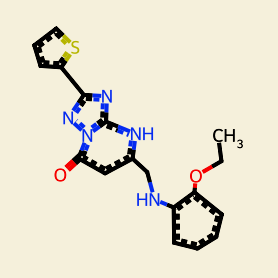 CCOc1ccccc1NCc1cc(=O)n2nc(-c3cccs3)nc2[nH]1